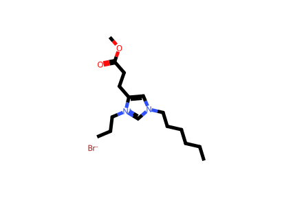 CCCCCCn1cc(CCC(=O)OC)[n+](CCC)c1.[Br-]